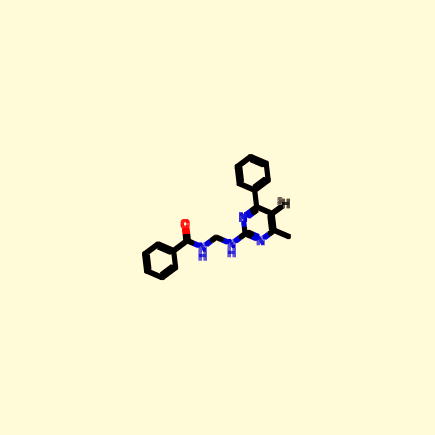 [2H]c1c(C)nc(NCNC(=O)c2ccccc2)nc1-c1ccccc1